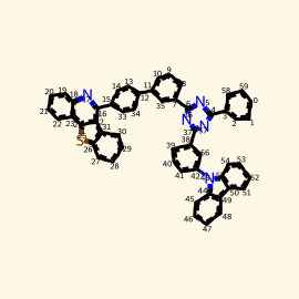 c1ccc(-c2nc(-c3cccc(-c4ccc(-c5nc6ccccc6c6sc7ccccc7c56)cc4)c3)nc(-c3cccc(-n4c5ccccc5c5ccccc54)c3)n2)cc1